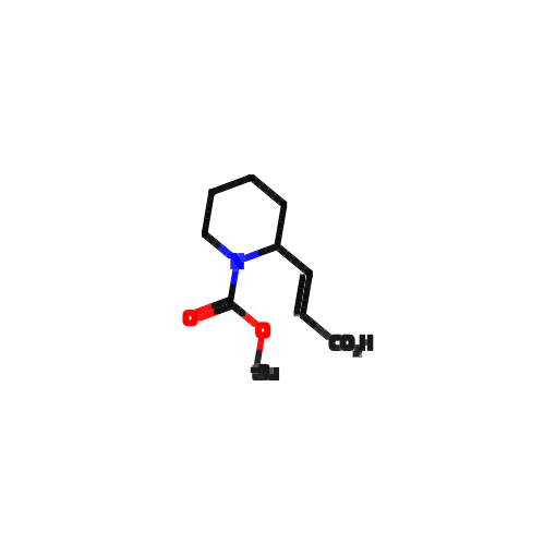 CC(C)(C)OC(=O)N1CCCCC1C=CC(=O)O